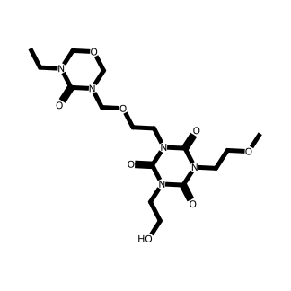 CCN1COCN(COCCn2c(=O)n(CCO)c(=O)n(CCOC)c2=O)C1=O